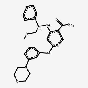 COC[C@@H](Nc1cc(Nc2cccc(N3CCOCC3)c2)ncc1C(N)=O)c1ccccc1